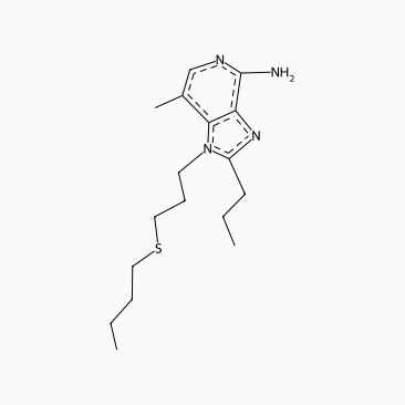 CCCCSCCCn1c(CCC)nc2c(N)ncc(C)c21